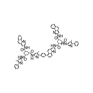 Cc1cc(NC(=O)C2CC(C(=O)Nc3cnc(-c4ccc(-c5cccc6c5ccc5cc(NC(=O)C7CC(C(=O)Nc8cnc(-c9ccccc9)c(C)c8)CC(C(=O)Nc8cnc9c(ccc%10ccccc%109)c8)C7)cnc56)cc4)c(C)c3)CC(C(=O)Nc3cnc4c(ccc5ccccc54)c3)C2)cnc1-c1ccccc1